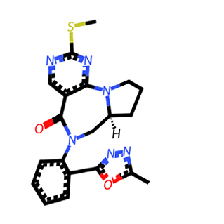 CSc1ncc2c(n1)N1CCC[C@H]1CN(c1ccccc1-c1nnc(C)o1)C2=O